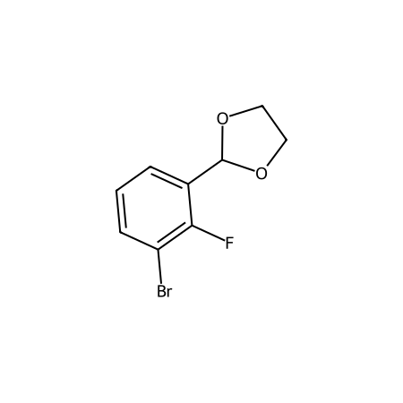 Fc1c(Br)cccc1C1OCCO1